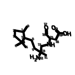 CC1CCC(C)(C)C1CCC(C)(N)CN[C@@H](C=O)CC(=O)O